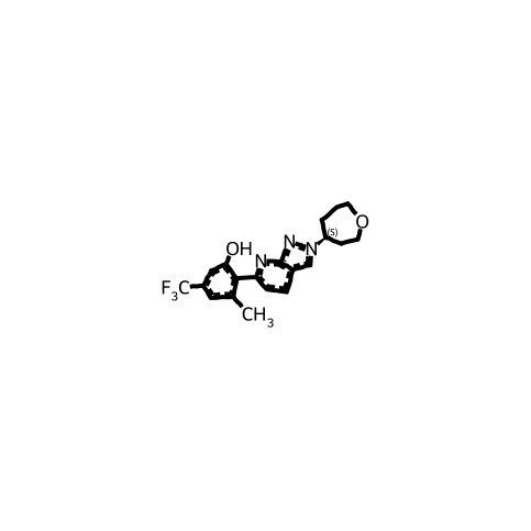 Cc1cc(C(F)(F)F)cc(O)c1-c1ccc2cn([C@H]3CCCOCC3)nc2n1